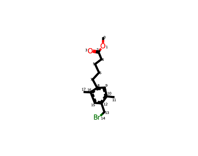 COC(=O)CCCCc1cc(C)c(CBr)cc1C